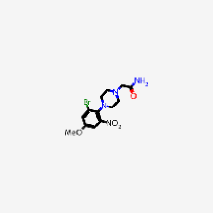 COc1cc(Br)c(N2CCN(CC(N)=O)CC2)c([N+](=O)[O-])c1